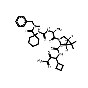 CN(Cc1ccccc1)C(=O)C1(NC(=O)N[C@H](C(=O)N2C[C@H]3[C@@H]([C@H]2C(=O)NC(C(=O)C(N)=O)C2CCC2)C3(C)C)C(C)(C)C)CCCCC1